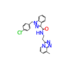 Cc1cccn2c(CCNC(=O)c3nn(Cc4ccc(Cl)cc4)c4ccccc34)nnc12